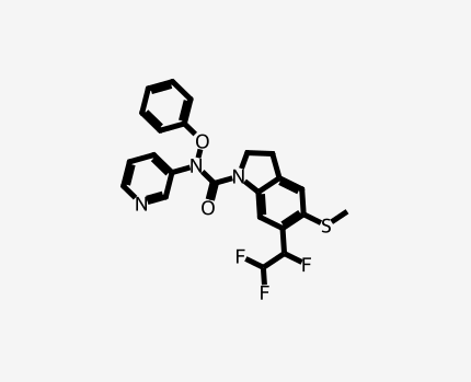 CSc1cc2c(cc1C(F)C(F)F)N(C(=O)N(Oc1ccccc1)c1cccnc1)CC2